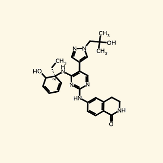 CC[C@]1(Nc2nc(Nc3ccc4c(c3)CCNC4=O)ncc2-c2cnn(CC(C)(C)O)c2)C=CC=CC1O